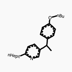 CCCCCCCc1ccc(C(C)c2ccc(OCCCC)cc2)cn1